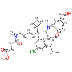 CCCc1cc(Cl)ccc1C1COc2ccc(CO)cc2N(CC2CCC2C/C=C/CCN(C)C(=O)CCC(=O)OC)C1